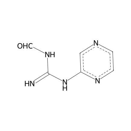 N=C(NC=O)Nc1cnccn1